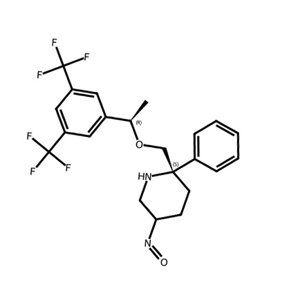 C[C@@H](OC[C@@]1(c2ccccc2)CCC(N=O)CN1)c1cc(C(F)(F)F)cc(C(F)(F)F)c1